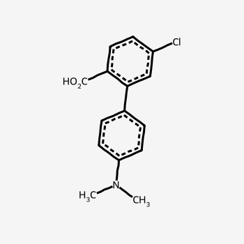 CN(C)c1ccc(-c2cc(Cl)ccc2C(=O)O)cc1